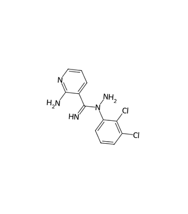 N=C(c1cccnc1N)N(N)c1cccc(Cl)c1Cl